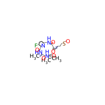 C/C=C1\NC(=O)c2nc(ccc2F)CNC(=O)C[C@@H](/C=C/CCSC=O)OC(=O)[C@H](C(C)C)NC1=O